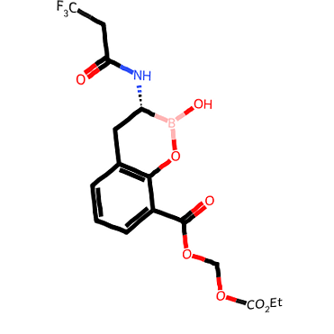 CCOC(=O)OCOC(=O)c1cccc2c1OB(O)[C@@H](NC(=O)CC(F)(F)F)C2